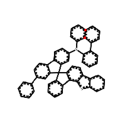 c1ccc(-c2ccc3c(c2)C2(c4cc(N(c5ccccc5)c5ccccc5-c5ccccc5)ccc4-3)c3ccccc3-c3c2ccc2c3sc3ccccc32)cc1